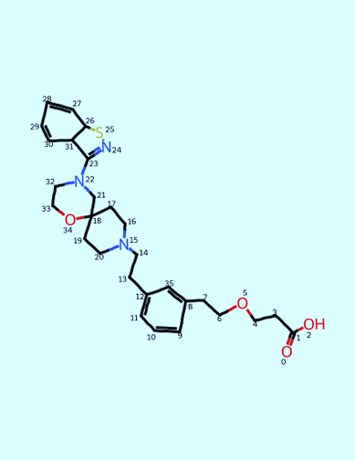 O=C(O)CCOCCc1cccc(CCN2CCC3(CC2)CN(C2=NSC4C=CC=CC24)CCO3)c1